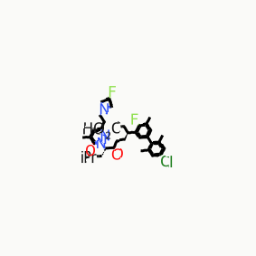 Cc1cc(-c2c(C)cc(Cl)cc2C)cc([C@@H](CCC(=O)[C@H](CC(C)C)n2nc(CCN3CC(F)C3)cc(C)c2=O)CC(=O)O)c1F